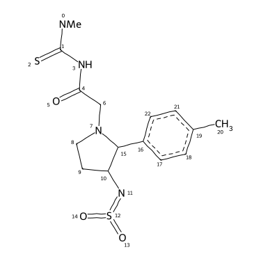 CNC(=S)NC(=O)CN1CCC(N=S(=O)=O)C1c1ccc(C)cc1